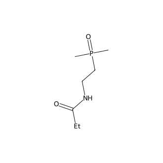 CCC(=O)NCCP(C)(C)=O